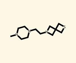 CN1CCN(CCN2CC3(CSC3)C2)CC1